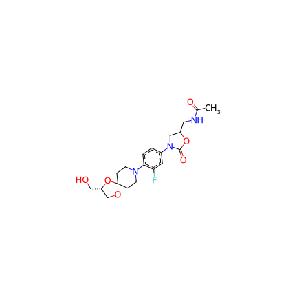 CC(=O)NCC1CN(c2ccc(N3CCC4(CC3)OC[C@H](CO)O4)c(F)c2)C(=O)O1